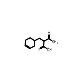 CC(=O)C(CC1CC=CCC1)C(=O)O